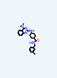 Cc1cccc(CNC(=O)C2CCC(Nc3nc(N(C)C)c4ccccc4n3)CC2)c1